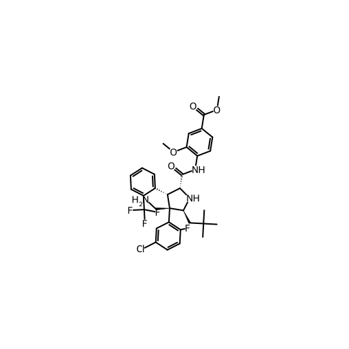 COC(=O)c1ccc(NC(=O)[C@@H]2N[C@@H](CC(C)(C)C)[C@](CN)(c3cc(Cl)ccc3F)[C@@H]2c2ccccc2C(F)(F)F)c(OC)c1